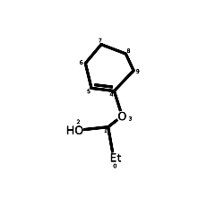 CCC(O)OC1=CCCCC1